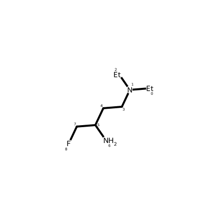 CCN(CC)CCC(N)CF